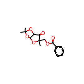 CC1(C)OC2OC(C)(COC(=O)c3ccccc3)C(=O)C2O1